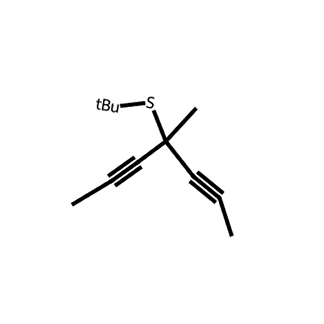 CC#CC(C)(C#CC)SC(C)(C)C